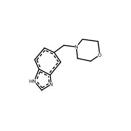 [c]1nc2cc(CN3CCOCC3)ccc2[nH]1